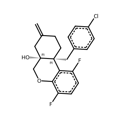 C=C1CC[C@@]2(Cc3ccc(Cl)cc3)c3c(F)ccc(F)c3OC[C@@]2(O)C1